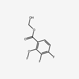 O=C(OCO)c1ccc(F)c(F)c1OF